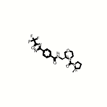 C[C@@H]1CCCN1C(=O)N1CCOC[C@@H]1CNC(=O)c1ccc(-c2noc(C(F)(F)F)n2)cc1